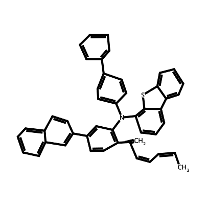 C=C(/C=C\C=C/C)c1ccc(-c2ccc3ccccc3c2)cc1N(c1ccc(-c2ccccc2)cc1)c1cccc2c1sc1ccccc12